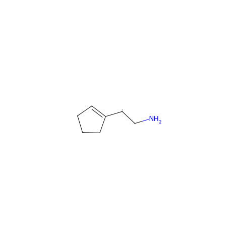 NC[CH]C1=CCCC1